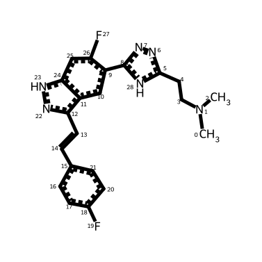 CN(C)CCc1nnc(-c2cc3c(/C=C/c4ccc(F)cc4)n[nH]c3cc2F)[nH]1